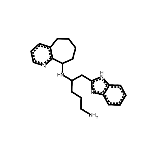 NCCCC(Cc1nc2ccccc2[nH]1)NC1CCCCc2cccnc21